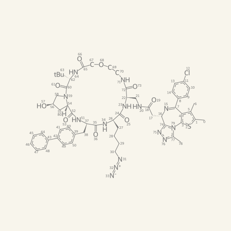 Cc1sc2c(c1C)C(c1ccc(Cl)cc1)=N[C@@H](CC(=O)NC[C@H]1NC(=O)[C@@H](CCCCN=[N+]=[N-])NC(=O)[C@@H](Cc3ccc(-c4ccccc4)cc3)NC(=O)[C@@H]3C[C@@H](O)CN3C(=O)[C@H](C(C)(C)C)NC(=O)COCCNC1=O)c1nnc(C)n1-2